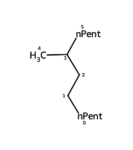 [CH2]CCCCCCC(C)CCCC[CH2]